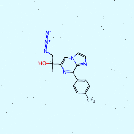 CC(O)(CN=[N+]=[N-])c1cn2ccnc2c(-c2ccc(C(F)(F)F)cc2)n1